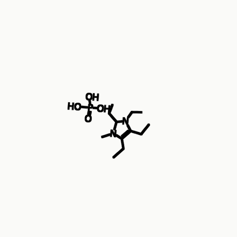 CCC1=C(CC)N(CC)C(CC)N1C.O=P(O)(O)O